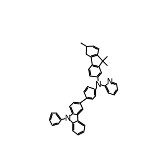 CC1C=CC2=C(C1)c1ccc(N(c3ccc(-c4ccc5c(c4)c4ccccc4n5-c4ccccc4)cc3)c3ccccn3)cc1C2(C)C